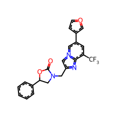 O=C1OC(c2ccccc2)CN1Cc1cn2cc(-c3ccoc3)cc(C(F)(F)F)c2n1